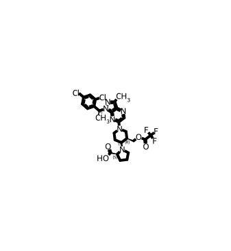 Cc1nn([C@H](C)c2ccc(Cl)cc2Cl)c2nc(N3CC[C@H](N4CCC[C@H]4C(=O)O)[C@H](COC(=O)C(F)(F)F)C3)cnc12